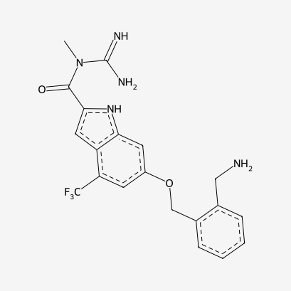 CN(C(=N)N)C(=O)c1cc2c(C(F)(F)F)cc(OCc3ccccc3CN)cc2[nH]1